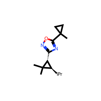 CC(C)[C@@H]1[C@@H](c2noc(C3(C)CC3)n2)C1(C)C